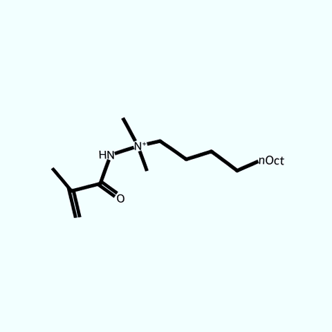 C=C(C)C(=O)N[N+](C)(C)CCCCCCCCCCCC